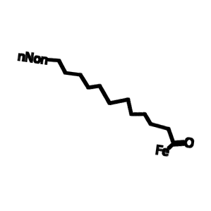 CCCCCCCCCCCCCCCCCCCC[C](=O)[Fe]